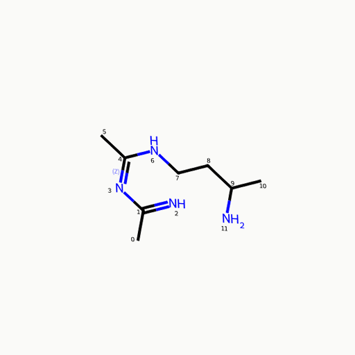 CC(=N)/N=C(/C)NCCC(C)N